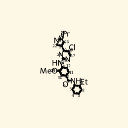 CCc1ccccc1NC(=O)c1ccc(Nc2ncc(Cl)c(-c3cnn(C(C)C)c3)n2)c(OC)c1